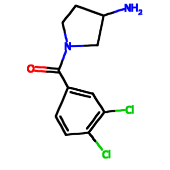 NC1CCN(C(=O)c2ccc(Cl)c(Cl)c2)C1